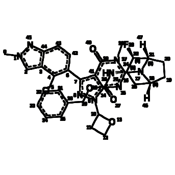 Cn1cc2c(Cl)c(-c3nn(C4CCO4)c4nc(N5[C@@H]6CC[C@H]5[C@H](F)[C@@H](NC(=O)OCc5ccccc5)C6)n(C)c(=O)c34)ccc2n1